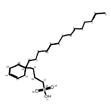 CCCCCCCCCCCCCCC1(CCCS(=O)(=O)O)CC=CCC1